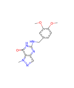 COc1ccc(CNc2nc3cnn(C)c3c(=O)[nH]2)cc1OC